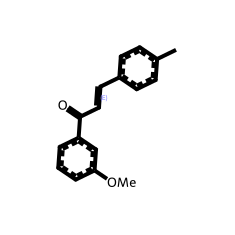 COc1cccc(C(=O)/C=C/c2ccc(C)cc2)c1